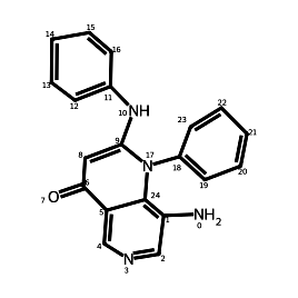 Nc1cncc2c(=O)cc(Nc3ccccc3)n(-c3ccccc3)c12